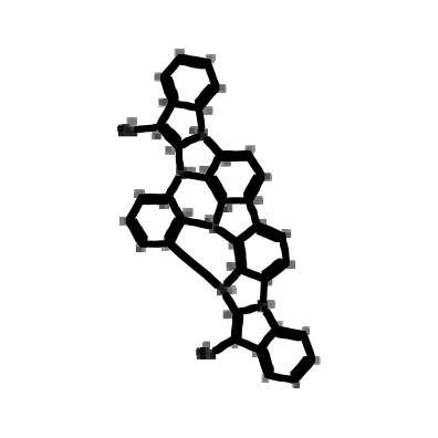 CC(C)(C)c1c2ccccc2n2c3ccc4c5c3n(c12)-c1cccc2c1B5c1c-4ccc3c1n-2c1c(C(C)(C)C)c2ccccc2n31